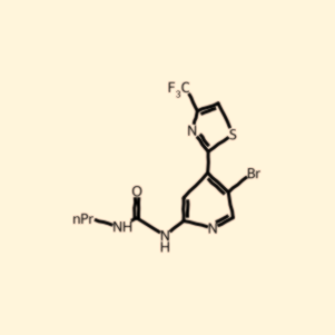 CCCNC(=O)Nc1cc(-c2nc(C(F)(F)F)cs2)c(Br)cn1